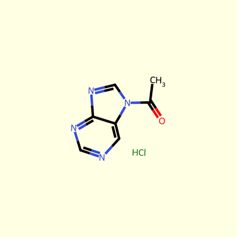 CC(=O)n1cnc2ncncc21.Cl